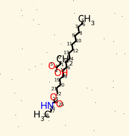 C=CC(=O)O.CCCCCCCCCCCCCCCCCCOC(=O)NCC